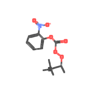 CC(OOC(=O)Oc1ccccc1[N+](=O)[O-])[Si](C)(C)C